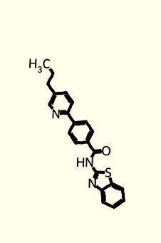 CCCc1ccc(-c2ccc(C(=O)Nc3nc4ccccc4s3)cc2)nc1